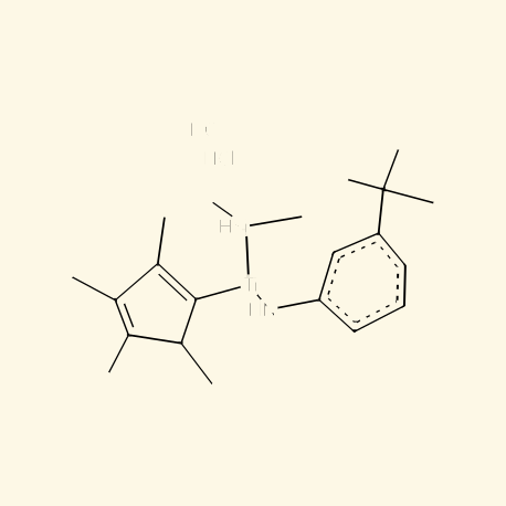 CC1=C(C)C(C)[C]([Ti]([NH]c2cccc(C(C)(C)C)c2)[SiH](C)C)=C1C.Cl.Cl